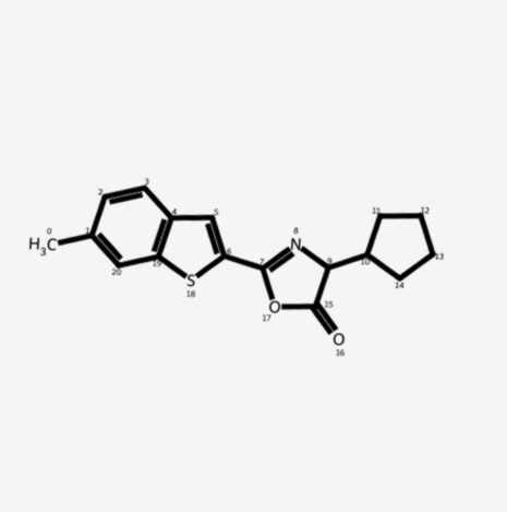 Cc1ccc2cc(C3=NC(C4CCCC4)C(=O)O3)sc2c1